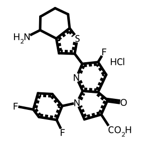 Cl.NC1CCCc2sc(-c3nc4c(cc3F)c(=O)c(C(=O)O)cn4-c3ccc(F)cc3F)cc21